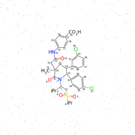 CC(C)C(CS(=O)(=O)C(C)C)N1C(=O)C(C)(CC(=O)Nc2ccc(C(=O)O)cc2)CC(c2cccc(Cl)c2)C1c1ccc(Cl)cc1